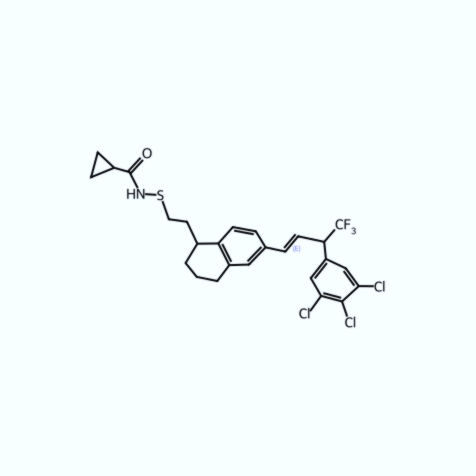 O=C(NSCCC1CCCc2cc(/C=C/C(c3cc(Cl)c(Cl)c(Cl)c3)C(F)(F)F)ccc21)C1CC1